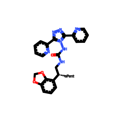 CCCCC[C@@H](CNC(=O)Nn1c(-c2ccccn2)nnc1-c1ccccn1)c1cccc2c1OCO2